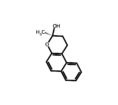 C[C@]1(O)CCc2c(ccc3ccccc23)O1